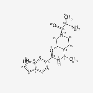 CC(NC(=O)c1ccc2cc[nH]c2c1)C1CCN(C(=O)[C@H](C)N)CC1